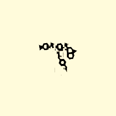 NCc1ccc(CNC(=O)[C@H]2CN(C(=O)C(CC3CC3)NC3CCCCC3)CC[C@H]2NC(=O)N2CCC3(CC2)CC3)cc1